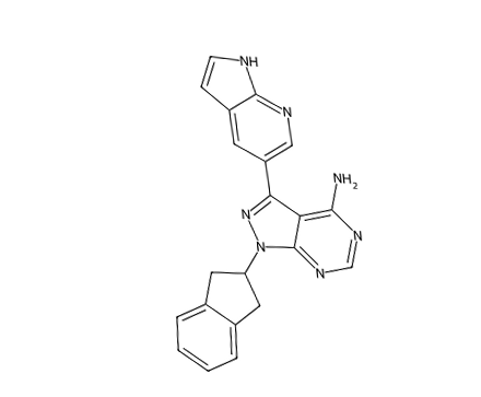 Nc1ncnc2c1c(-c1cnc3[nH]ccc3c1)nn2C1Cc2ccccc2C1